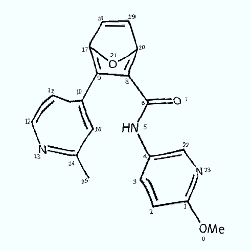 COc1ccc(NC(=O)c2c(-c3ccnc(C)c3)c3ccc2o3)cn1